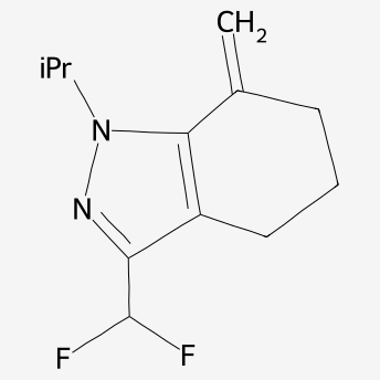 C=C1CCCc2c(C(F)F)nn(C(C)C)c21